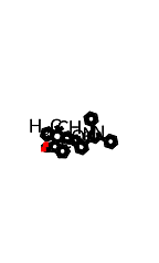 CC1(C)c2ccccc2C2(c3ccccc3-c3ccccc32)c2cc3c(cc21)oc1c(-c2cc(-c4ccccc4)nc(-c4ccccc4)n2)cccc13